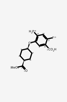 COC(=O)[C@H]1CC[C@@H](Oc2cc(C(=O)O)c(F)cc2P)CC1